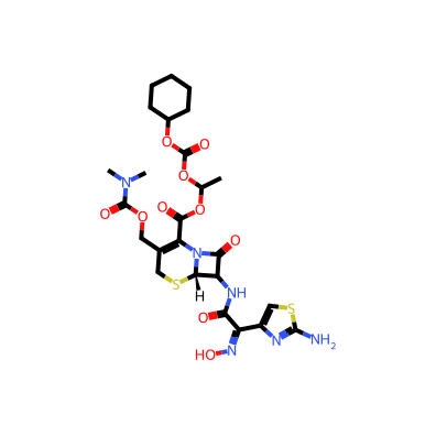 CC(OC(=O)OC1CCCCC1)OC(=O)C1=C(COC(=O)N(C)C)CS[C@H]2C(NC(=O)/C(=N\O)c3csc(N)n3)C(=O)N12